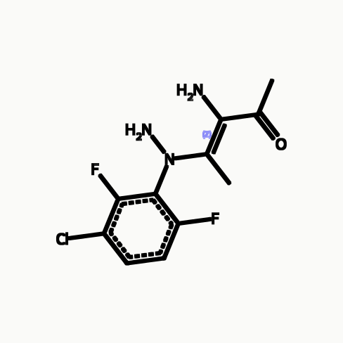 CC(=O)/C(N)=C(\C)N(N)c1c(F)ccc(Cl)c1F